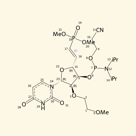 COCCO[C@@H]1[C@H](OP(OCCC#N)N(C(C)C)C(C)C)[C@@H](/C=C/P(=O)(OC)OC)O[C@H]1n1ccc(=O)[nH]c1=O